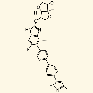 Cc1cc(-c2ccc(-c3ccc(-c4c(F)cc5[nH]c(O[C@@H]6CO[C@H]7[C@@H]6OC[C@H]7O)nc5c4F)cc3)cc2)[nH]n1